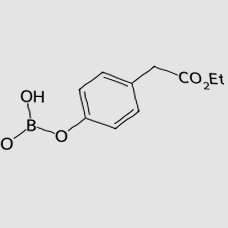 CCOC(=O)Cc1ccc(OB(O)O)cc1